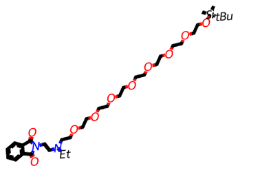 CCN(CCOCCOCCOCCOCCOCCOCCOCCO[Si](C)(C)C(C)(C)C)CCN1C(=O)c2ccccc2C1=O